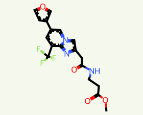 COC(=O)CCNC(=O)Cc1cn2cc(-c3ccoc3)cc(C(F)(F)F)c2n1